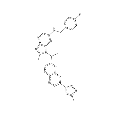 Cc1nc2ncc(NCc3ccc(F)cc3)nc2n1C(C)c1ccc2ncc(-c3cnn(C)c3)cc2c1